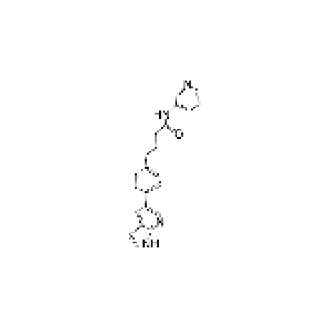 O=C(CCCc1ccc(-c2cnc3[nH]ccc3c2)cc1)Nc1cccnc1